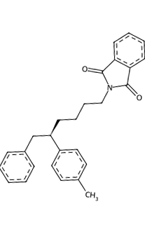 Cc1ccc([C@H](CCCCN2C(=O)c3ccccc3C2=O)Cc2ccccc2)cc1